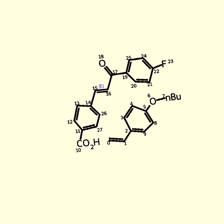 C=Cc1ccc(OCCCC)cc1.O=C(O)c1ccc(/C=C/C(=O)c2ccc(F)cc2)cc1